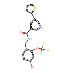 O=C(NCc1ccc(Br)cc1OC(F)(F)F)c1cncc(-c2cccs2)c1